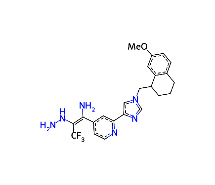 COc1ccc2c(c1)C(Cn1cnc(-c3cc(/C(N)=C(/NN)C(F)(F)F)ccn3)c1)CCC2